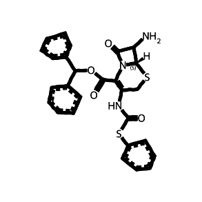 NC1C(=O)N2C(C(=O)OC(c3ccccc3)c3ccccc3)=C(NC(=O)Sc3ccccc3)CS[C@@H]12